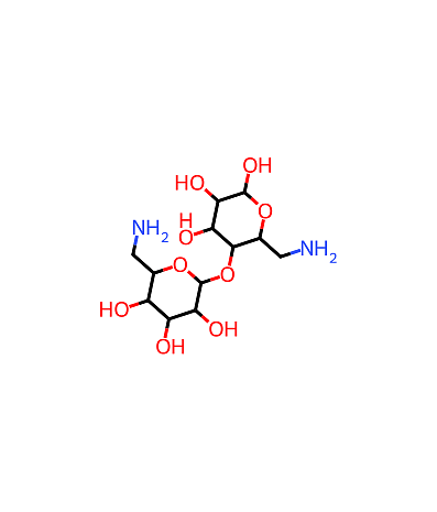 NCC1OC(OC2C(CN)OC(O)C(O)C2O)C(O)C(O)C1O